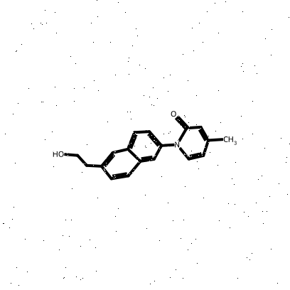 Cc1ccn(-c2ccc3cc(CCO)ccc3c2)c(=O)c1